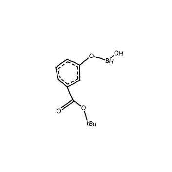 CC(C)(C)OC(=O)c1cccc(OBO)c1